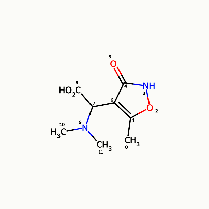 Cc1o[nH]c(=O)c1C(C(=O)O)N(C)C